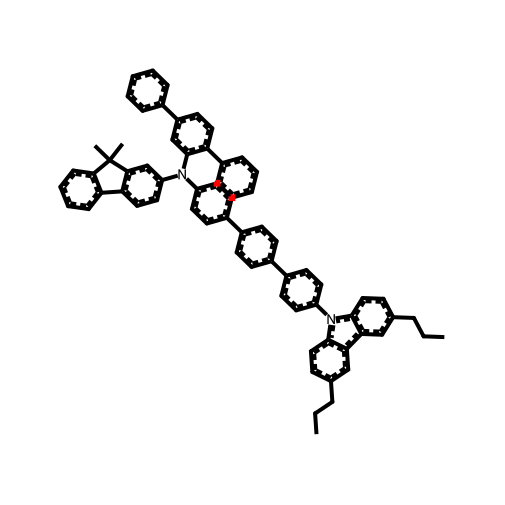 CCCc1ccc2c(c1)c1cc(CCC)ccc1n2-c1ccc(-c2ccc(-c3ccc(N(c4ccc5c(c4)C(C)(C)c4ccccc4-5)c4cc(-c5ccccc5)ccc4-c4ccccc4)cc3)cc2)cc1